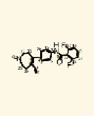 C=CC1=C(c2ccc(NC(=O)c3c(F)cccc3F)cc2)CCN(C)CC1